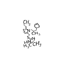 CC/C=C1\SC=C(CSC2=NCC(C)(C)N2)N1CC(C)Cc1ccccc1